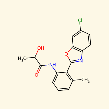 Cc1cccc(NC(=O)C(C)O)c1-c1nc2ccc(Cl)cc2o1